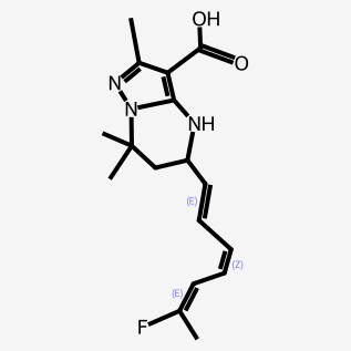 C\C(F)=C/C=C\C=C\C1CC(C)(C)n2nc(C)c(C(=O)O)c2N1